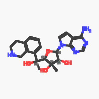 C[C@]1(O)[C@@H](O)[C@H](n2ccc3c(N)ncnc32)O[C@@H]1[C@@](C)(O)c1cccc2c1CNCC2